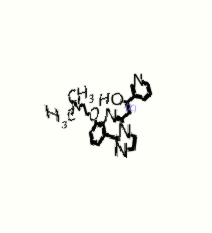 CN(C)CCOc1cccc2c1N=C(/C=C(\O)c1cccnc1)N1CCN=C21